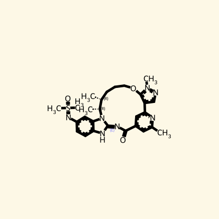 Cc1cc2cc(n1)-c1cnn(C)c1OCCC[C@@H](C)[C@@H](C)N1/C(=N/C2=O)Nc2ccc(N=S(C)(C)=O)cc21